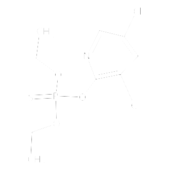 CCOP(=S)(OCC)Oc1ncc(Cl)cc1Cl